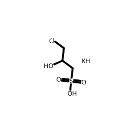 O=S(=O)(O)CC(O)CCl.[KH]